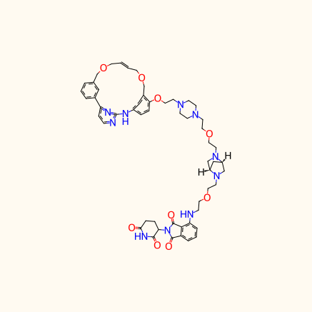 O=C1CCC(N2C(=O)c3cccc(NCCOCCN4C[C@@H]5C[C@H]4CN5CCOCCN4CCN(CCOc5ccc6cc5COC/C=C/COCc5cccc(c5)-c5ccnc(n5)N6)CC4)c3C2=O)C(=O)N1